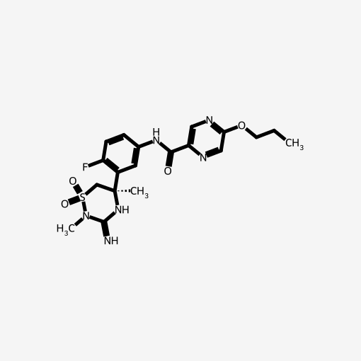 CCCOc1cnc(C(=O)Nc2ccc(F)c([C@]3(C)CS(=O)(=O)N(C)C(=N)N3)c2)cn1